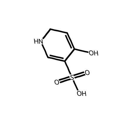 O=S(=O)(O)C1=CNCC=C1O